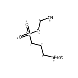 CCCCCCCCS(=O)(=O)OCC#N